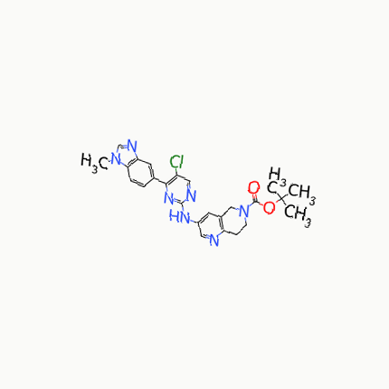 Cn1cnc2cc(-c3nc(Nc4cnc5c(c4)CN(C(=O)OC(C)(C)C)CC5)ncc3Cl)ccc21